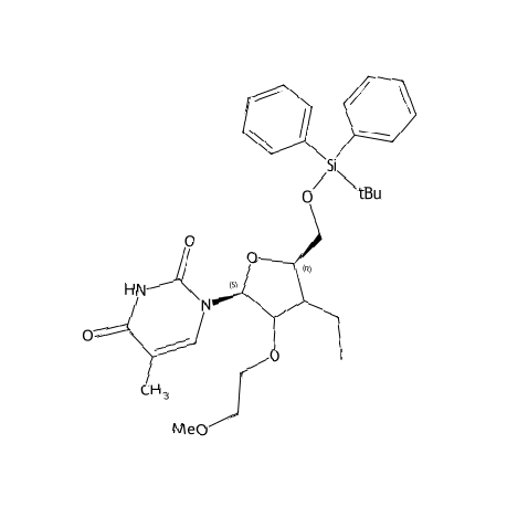 COCCOC1C(CI)[C@H](CO[Si](c2ccccc2)(c2ccccc2)C(C)(C)C)O[C@@H]1n1cc(C)c(=O)[nH]c1=O